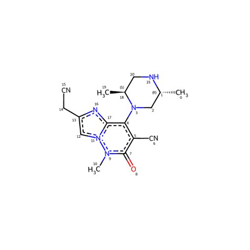 C[C@@H]1CN(c2c(C#N)c(=O)n(C)n3cc(CC#N)nc23)[C@@H](C)CN1